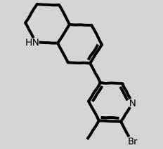 Cc1cc(C2=CCC3CCCNC3C2)cnc1Br